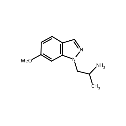 COc1ccc2cnn(CC(C)N)c2c1